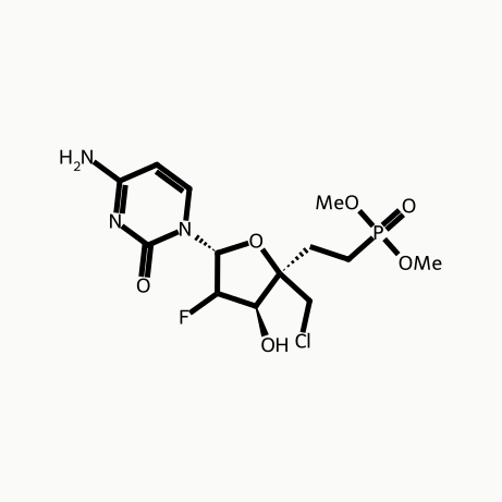 COP(=O)(CC[C@@]1(CCl)O[C@@H](n2ccc(N)nc2=O)C(F)[C@@H]1O)OC